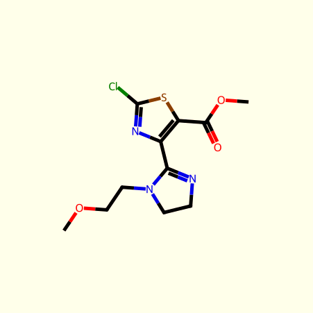 COCCN1CCN=C1c1nc(Cl)sc1C(=O)OC